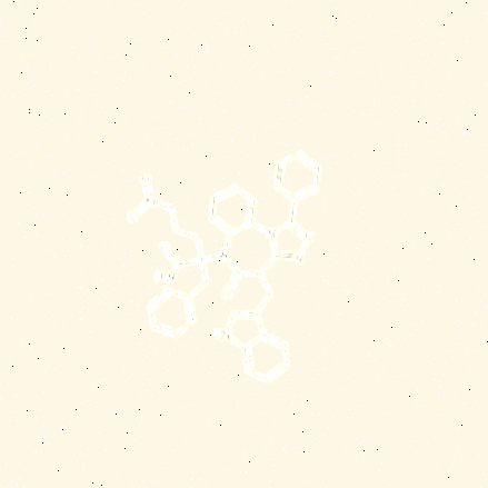 NC(=O)C(CCC[As](=O)=O)(Cc1ccccc1)N1C(=O)C(Cc2c[nH]c3ccccc23)c2nnc(-c3ccccc3)n2-c2ccccc21